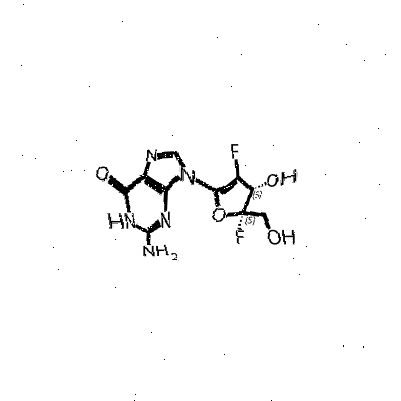 Nc1nc2c(ncn2C2=C(F)[C@H](O)[C@@](F)(CO)O2)c(=O)[nH]1